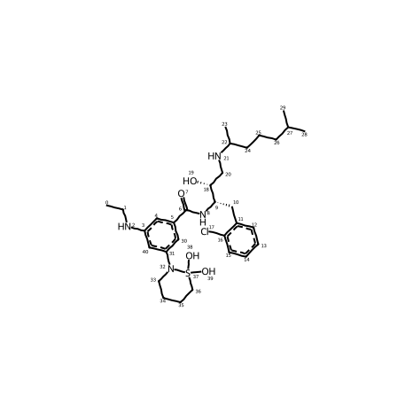 CCNc1cc(C(=O)N[C@@H](Cc2ccccc2Cl)[C@H](O)CNC(C)CCCC(C)C)cc(N2CCCCS2(O)O)c1